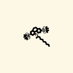 CCCCCCCCC(C)n1c2cc(B3OC(C)(C)C(C)(C)O3)cc3c2c2c(cc(B4OC(C)(C)C(C)(C)O4)cc21)CC3